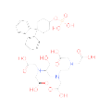 O=C(O)CN(CCN(CC(=O)O)CC(CO)N(CC(=O)O)CC(=O)O)CC(=O)O.O=P(O)(O)OC1CCC(c2ccccc2)(c2ccccc2)CC1